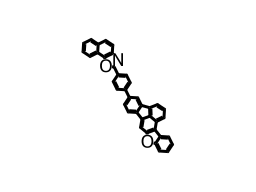 c1ccc2c(c1)ccc1nc(-c3ccc(-c4ccc5c(c4)-c4cccc6c4c-5cc4oc5ccccc5c46)cc3)oc12